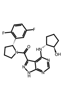 O=C(c1n[nH]c2ncnc(N[C@@H]3CCC[C@H]3O)c12)N1CCC[C@@H]1c1cc(F)ccc1F